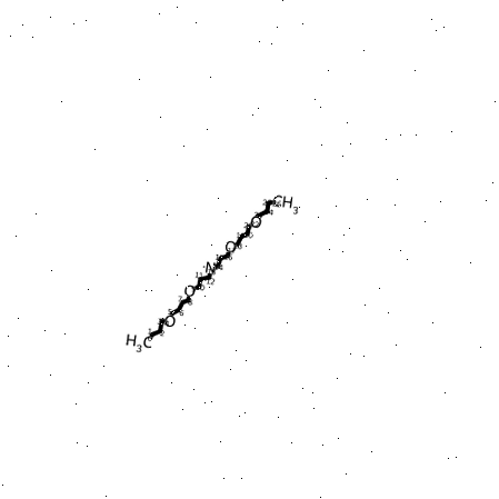 CCCCOCCCCOCCC[N]CCCOCCCCOCCCC